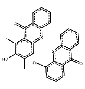 CC(C)c1cccc2c(=O)c3ccccc3sc12.Cc1cc2sc3ccccc3c(=O)c2c(C)c1O